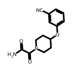 N#Cc1cccc(OC2CCN(C(=O)C(N)=O)CC2)c1